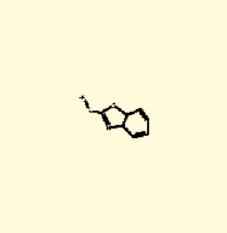 SSC1=NC2C=CC=CC2S1